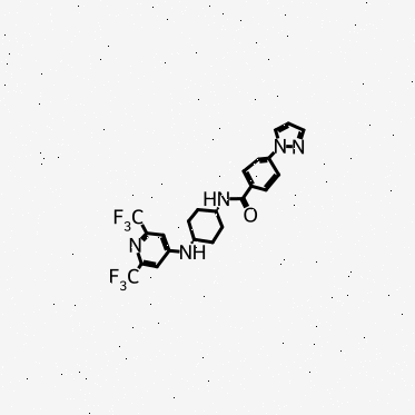 O=C(N[C@H]1CC[C@@H](Nc2cc(C(F)(F)F)nc(C(F)(F)F)c2)CC1)c1ccc(-n2cccn2)cc1